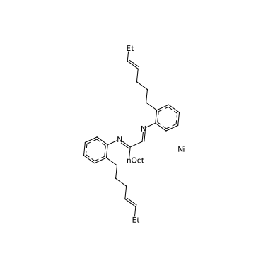 CCC=CCCCc1ccccc1N=CC(CCCCCCCC)=Nc1ccccc1CCCC=CCC.[Ni]